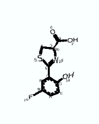 O=C(O)[C@@H]1CSC(c2cc(F)ccc2O)=N1